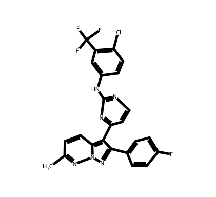 Cc1ccc2c(-c3ccnc(Nc4ccc(Cl)c(C(F)(F)F)c4)n3)c(-c3ccc(F)cc3)nn2n1